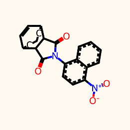 O=C1C2C3C=CC(CCC3)C2C(=O)N1c1ccc([N+](=O)[O-])c2ccccc12